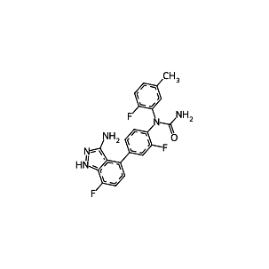 Cc1ccc(F)c(N(C(N)=O)c2ccc(-c3ccc(F)c4[nH]nc(N)c34)cc2F)c1